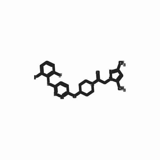 Cc1cc(C(F)(F)F)nn1CC(=O)N1CCC(Oc2ccc(Sc3c(F)cccc3F)nn2)CC1